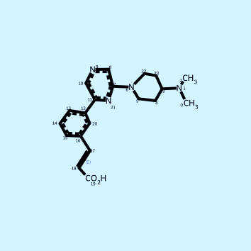 CN(C)C1CCN(c2cncc(-c3cccc(/C=C/C(=O)O)c3)n2)CC1